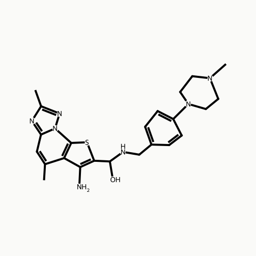 Cc1nc2cc(C)c3c(N)c(C(O)NCc4ccc(N5CCN(C)CC5)cc4)sc3n2n1